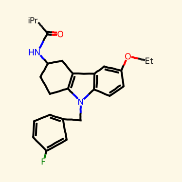 CCOc1ccc2c(c1)c1c(n2Cc2cccc(F)c2)CCC(NC(=O)C(C)C)C1